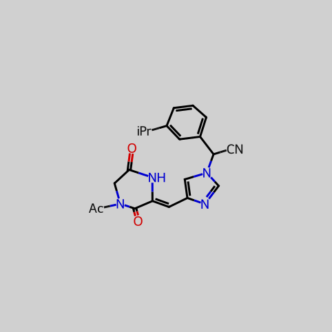 CC(=O)N1CC(=O)N/C(=C\c2cn(C(C#N)c3cccc(C(C)C)c3)cn2)C1=O